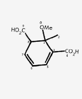 COC1(C)C(C(=O)O)=CC=CC1C(=O)O